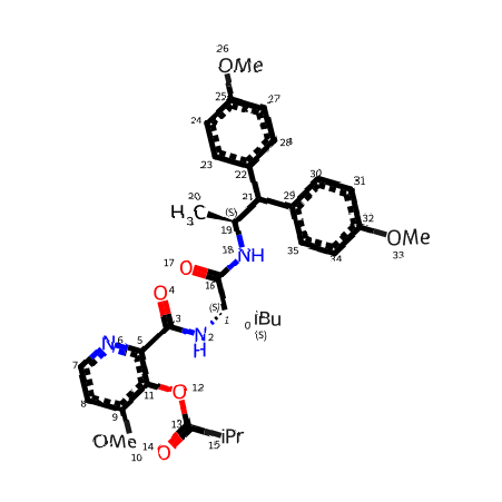 CC[C@H](C)[C@H](NC(=O)c1nccc(OC)c1OC(=O)C(C)C)C(=O)N[C@@H](C)C(c1ccc(OC)cc1)c1ccc(OC)cc1